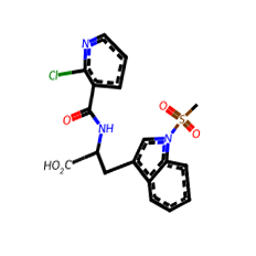 CS(=O)(=O)n1cc(CC(NC(=O)c2cccnc2Cl)C(=O)O)c2ccccc21